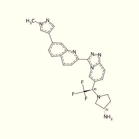 Cn1cc(-c2ccc3ccc(-c4nnc5ccc([C@@H](N6CC[C@H](N)C6)C(F)(F)F)cn45)nc3c2)cn1